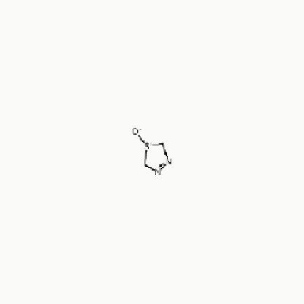 [O-][S+]1CN=NC1